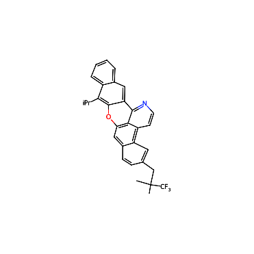 CC(C)c1c2c(cc3ccccc13)-c1nccc3c1c(cc1ccc(CC(C)(C)C(F)(F)F)cc13)O2